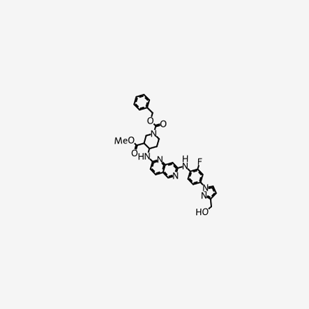 COC(=O)C1CN(C(=O)OCc2ccccc2)CCC1Nc1ccc2cnc(Nc3ccc(-n4ccc(CO)n4)cc3F)cc2n1